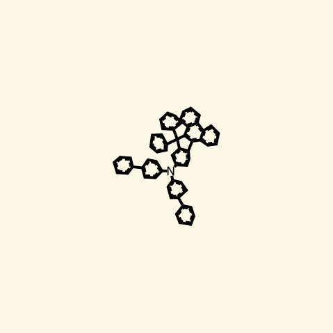 c1ccc(-c2ccc(N(c3ccc(-c4ccccc4)cc3)c3ccc4c(c3)C(c3ccccc3)(c3ccccc3)c3c-4c4ccccc4c4ccccc34)cc2)cc1